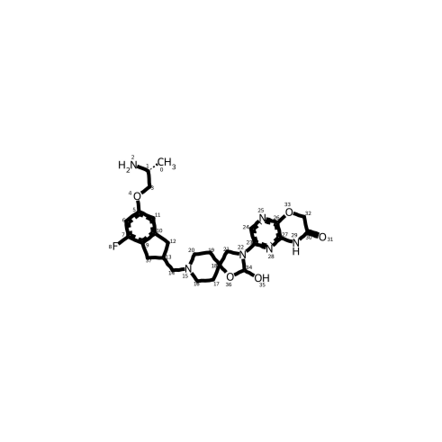 C[C@@H](N)COc1cc(F)c2c(c1)CC(CN1CCC3(CC1)CN(c1cnc4c(n1)NC(=O)CO4)C(O)O3)C2